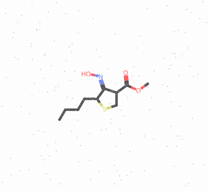 CCCCC1SCC(C(=O)OC)C1=NO